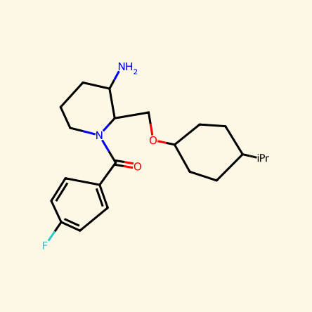 CC(C)C1CCC(OCC2C(N)CCCN2C(=O)c2ccc(F)cc2)CC1